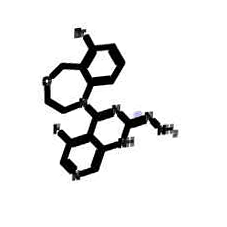 N/N=c1/nc(N2CCOCc3c(Br)cccc32)c2c(F)cncc2[nH]1